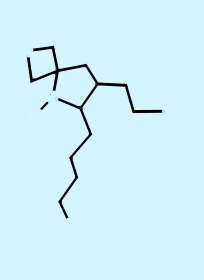 CCCCCC1C(CCC)CC2(COC2)N1C